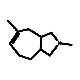 CC1=CCCC2CN(C)CC2C1